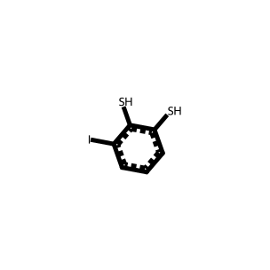 Sc1cccc(I)c1S